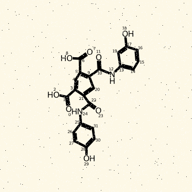 O=C(O)c1cc(C(=O)O)c(C(=O)Nc2cccc(O)c2)cc1C(=O)Nc1ccc(O)cc1